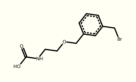 O=C(O)NCCOCc1cccc(CBr)c1